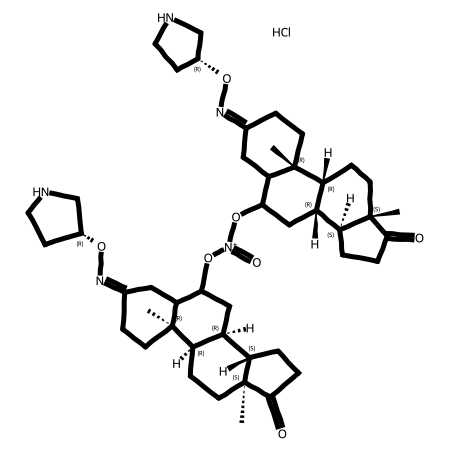 C[C@]12CCC(=NO[C@@H]3CCNC3)CC1C(O[N+](=O)OC1C[C@@H]3[C@@H](CC[C@]4(C)C(=O)CC[C@@H]34)[C@@]3(C)CCC(=NO[C@@H]4CCNC4)CC13)C[C@@H]1[C@H]2CC[C@]2(C)C(=O)CC[C@@H]12.Cl